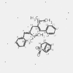 CN(C)C(=Cc1ccccc1)CC(=Cc1ccccc1)N(C)C.O=S1(=O)Cc2ccc1cc2